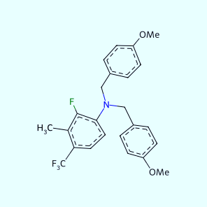 COc1ccc(CN(Cc2ccc(OC)cc2)c2ccc(C(F)(F)F)c(C)c2F)cc1